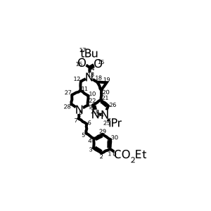 CCOC(=O)c1ccc(CCCN2CCC(CN(C(=O)OC(C)(C)C)C3CC3c3cnn(C(C)C)c3)CC2)cc1